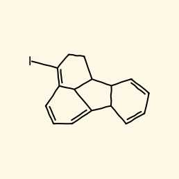 IC1=C2C=CC=C3C4C=CC=CC4C(CC1)C32